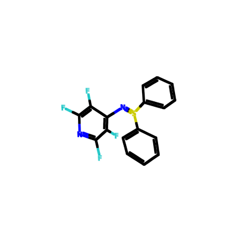 Fc1nc(F)c(F)c(N=S(c2ccccc2)c2ccccc2)c1F